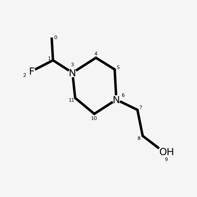 CC(F)N1CCN(CCO)CC1